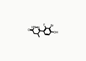 CC1CC(=O)NN=C1c1ccc(O)c(Br)c1F